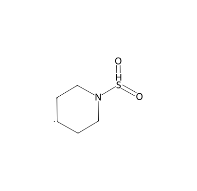 O=[SH](=O)N1CC[CH]CC1